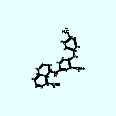 COc1cc(Nc2ncnc3cccc(OC)c23)ccc1Oc1ccc(C)nc1